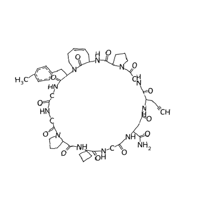 C#CCC1NC(=O)CC(C(N)=O)NC(=O)CNC(=O)C2(CCC2)NC(=O)C2CCCN2C(=O)CNC(=O)CNC(=O)C(Cc2ccc(C)cc2)N2CCC=CCC(NC(=O)C3CCCN3C(=O)CNC1=O)C2=O